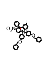 O=[N+]([O-])c1ccc([N+](c2ccc(OCc3ccccc3)cc2)(c2ccc(OCc3ccccc3)cc2)c2ccc(I)cc2Cc2ccccc2)cc1